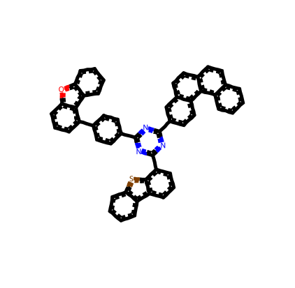 c1ccc2c(c1)ccc1ccc3cc(-c4nc(-c5ccc(-c6cccc7oc8ccccc8c67)cc5)nc(-c5cccc6c5sc5ccccc56)n4)ccc3c12